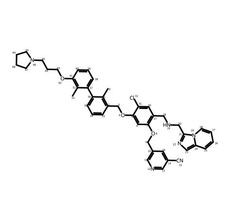 Cc1c(COc2cc(OCc3cncc(C#N)c3)c(CNCc3ncc4ccccn34)cc2Cl)cccc1-c1cccc(OCCCN2CCCC2)c1C